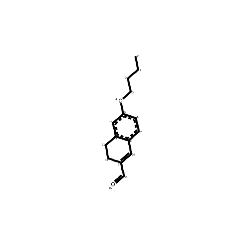 CCCCOc1ccc2c(c1)CCC(C=O)=C2